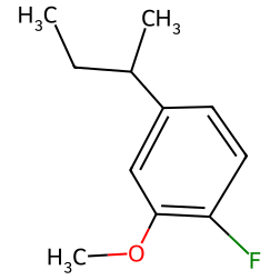 CCC(C)c1ccc(F)c(OC)c1